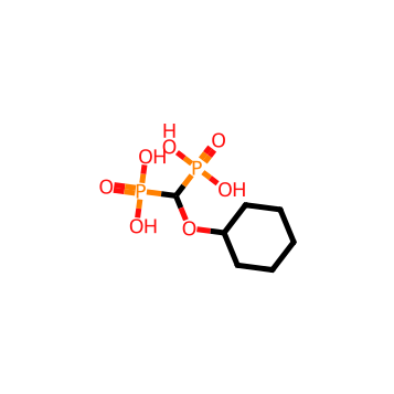 O=P(O)(O)C(OC1CCCCC1)P(=O)(O)O